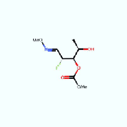 [CH2][C@@H](O)[C@@H](OC(=O)OC)[C@H](F)C=NOC